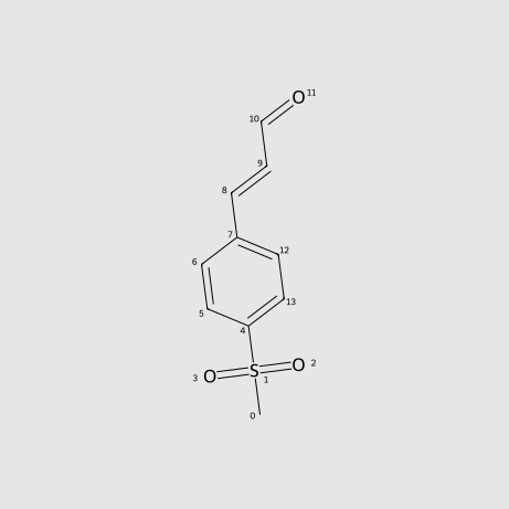 CS(=O)(=O)c1ccc(/C=C/C=O)cc1